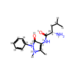 Cc1c(NC(=O)[C@@H](N)CC(C)C)c(=O)n(-c2ccccc2)n1C